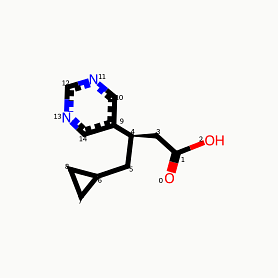 O=C(O)C[C@@H](CC1CC1)c1cncnc1